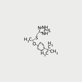 CC(Oc1ccc(C(C)(C)C)cc1)SCc1n[nH]c(=S)[nH]1